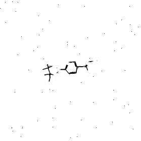 CC1(C)OB(c2ccc(/C(N)=N/O)cn2)OC1(C)C